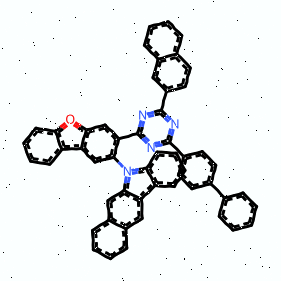 c1ccc(-c2ccc(-c3nc(-c4ccc5ccccc5c4)nc(-c4cc5oc6ccccc6c5cc4-n4c5ccccc5c5cc6ccccc6cc54)n3)cc2)cc1